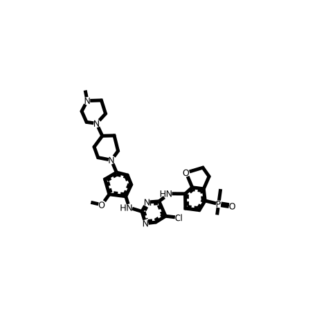 COc1cc(N2CCC(N3CCN(C)CC3)CC2)ccc1Nc1ncc(Cl)c(Nc2ccc(P(C)(C)=O)c3c2OCC3)n1